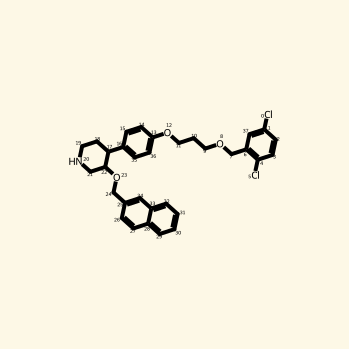 Clc1ccc(Cl)c(COCCCOc2ccc(C3CCNCC3OCc3ccc4ccccc4c3)cc2)c1